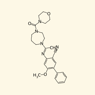 COc1cc(/N=C(\C)N2CCCN(C(=O)N3CCOCC3)CC2)c(C#N)cc1-c1ccccc1